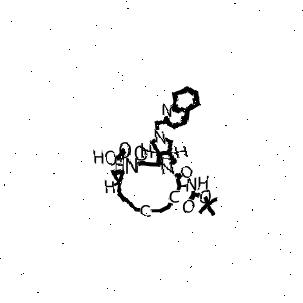 CC(C)(C)OC(=O)N[C@H]1CCCCC/C=C\[C@@H]2C[C@@]2(C(=O)O)NC(=O)[C@@H]2[C@H]3CN(Cc4ccc5ccccc5n4)C[C@H]3CN2C1=O